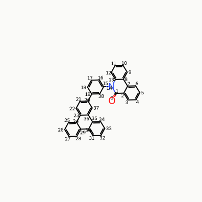 O=c1c2ccccc2c2ccccc2n1-c1cccc(-c2ccc3c4ccccc4c4ccccc4c3c2)c1